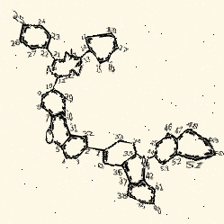 C1=C(c2ccc3oc4ccc(-c5nc(-c6ccccc6)nc(-c6ccccc6)n5)cc4c3c2)CCc2c1c1ccccc1n2-c1ccc2ccccc2c1